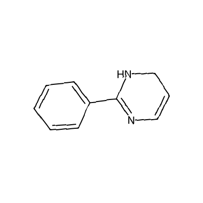 C1=CN=C(c2ccccc2)NC1